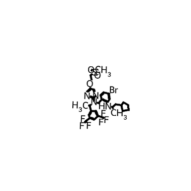 CC(CC1CCCC1)Nc1cc(Br)ccc1CN(c1ncc(OCCS(C)(=O)=O)cn1)C(C)c1cc(C(F)(F)F)cc(C(F)(F)F)c1